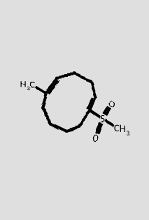 C/C1=C/CC/C=C(/S(C)(=O)=O)CCCC1